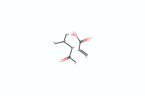 C=CC(=O)O.CC(=O)CC(C)C